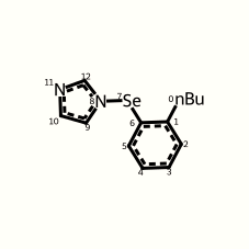 CCCCc1ccccc1[Se]n1ccnc1